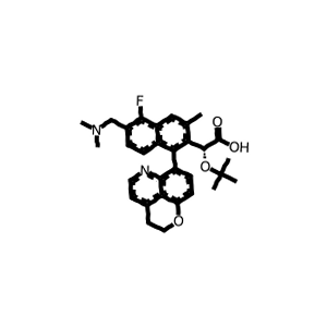 Cc1cc2c(F)c(CN(C)C)ccc2c(-c2ccc3c4c(ccnc24)CCO3)c1[C@@H](OC(C)(C)C)C(=O)O